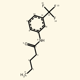 CCCCC(=O)Nc1cccc(C(F)(F)F)c1